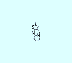 Cc1cc2c(s1)N=C1C=CC=CN1C2